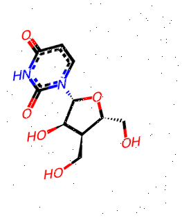 O=c1ccn([C@@H]2O[C@H](CO)[C@@H](CO)[C@H]2O)c(=O)[nH]1